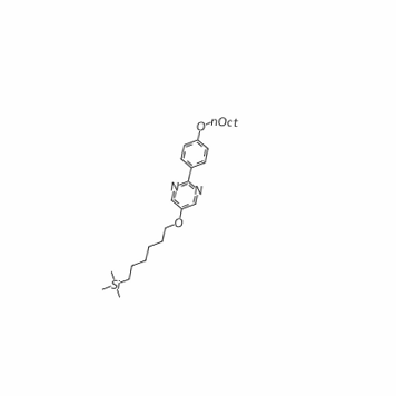 CCCCCCCCOc1ccc(-c2ncc(OCCCCCC[Si](C)(C)C)cn2)cc1